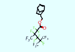 O=C(OCC1CC2C=CC1C2)C(F)(F)C(F)(C(F)(F)F)C(F)(F)C(F)(C(F)(F)F)C(F)(F)F